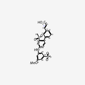 COc1cc(Nc2ncc(-c3cccc(/C=C/C(=O)O)c3)c(S(C)(=O)=O)n2)cc(S(C)(=O)=O)c1